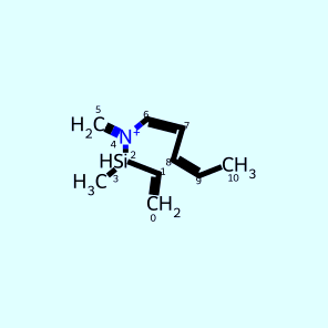 C=C[SiH](C)[N+](=C)/C=C\C=C/C